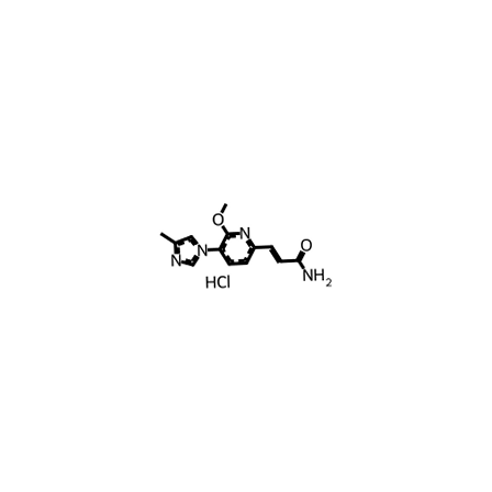 COc1nc(/C=C/C(N)=O)ccc1-n1cnc(C)c1.Cl